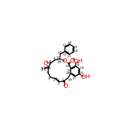 O=C1/C=C/CC[C@@H]2OC2C[C@@H](Cc2ccccc2)OC(=O)c2c(O)cc(O)cc2C1